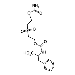 NC(=O)OCCS(=O)(=O)CCOC(=O)NC(Cc1ccccc1)C(=O)O